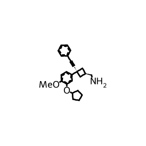 COc1ccc([C@]2(C#Cc3ccccc3)C[C@H](CN)C2)cc1OC1CCCC1